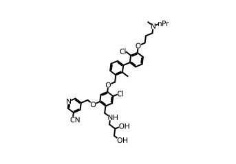 CCCN(C)CCCOc1cccc(-c2cccc(COc3cc(OCc4cncc(C#N)c4)c(CNCC(O)CO)cc3Cl)c2C)c1Cl